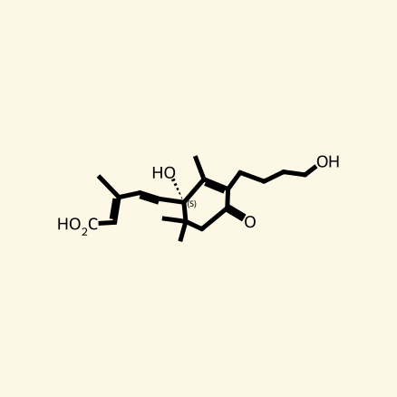 CC(C=C[C@@]1(O)C(C)=C(CCCCO)C(=O)CC1(C)C)=CC(=O)O